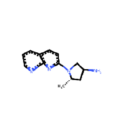 C[C@H]1C[C@H](N)CN1c1ccc2cccnc2n1